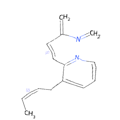 C=NC(=C)/C=C\c1ncccc1C/C=C\C